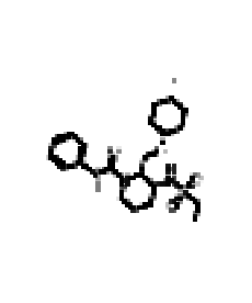 CCS(=O)(=O)N[C@H]1CCCN(C(=O)Nc2ccccc2)[C@H]1CO[C@H]1CC[C@@H](C)CC1